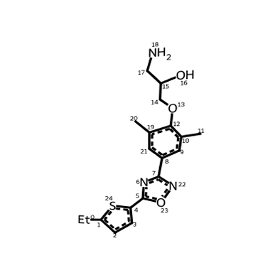 CCc1ccc(-c2nc(-c3cc(C)c(OCC(O)CN)c(C)c3)no2)s1